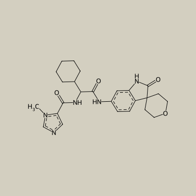 Cn1cncc1C(=O)NC(C(=O)Nc1ccc2c(c1)NC(=O)C21CCOCC1)C1CCCCC1